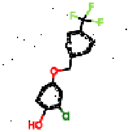 Oc1ccc(OCc2ccc(C(F)(F)F)cc2)cc1Cl